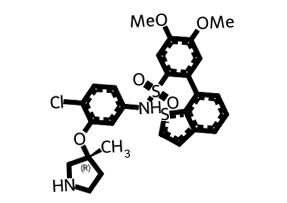 COc1cc(-c2cccc3ccsc23)c(S(=O)(=O)Nc2ccc(Cl)c(O[C@]3(C)CCNC3)c2)cc1OC